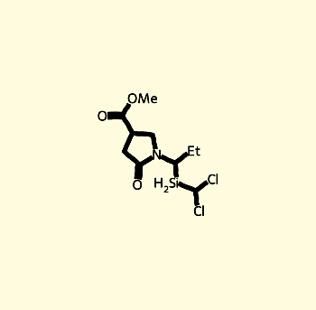 CCC([SiH2]C(Cl)Cl)N1CC(C(=O)OC)CC1=O